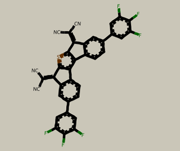 N#CC(C#N)=C1c2cc(-c3cc(F)c(F)c(F)c3)ccc2-c2c1sc1c2-c2ccc(-c3cc(F)c(F)c(F)c3)cc2C1=C(C#N)C#N